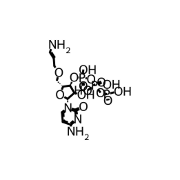 NC=CCOC[C@H]1O[C@@H](n2ccc(N)nc2=O)[C@H](O)[C@@H]1OP(=O)(O)OP(=O)(O)OP(=O)(O)O